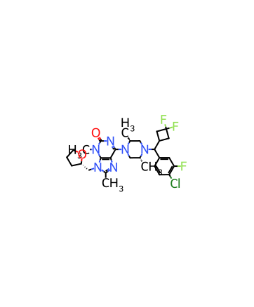 Cc1nc2c(N3C[C@@H](C)N(C(c4ccc(Cl)c(F)c4)C4CC(F)(F)C4)C[C@@H]3C)nc(=O)n(C)c2n1C[C@@H]1CCCO1